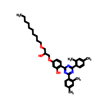 CCCCCCCCCCOCC(O)COc1ccc(-c2nc(-c3ccc(C)cc3C)nc(-c3ccc(C)cc3C)n2)c(O)c1